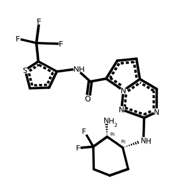 N[C@@H]1[C@H](Nc2ncc3ccc(C(=O)Nc4ccsc4C(F)(F)F)n3n2)CCCC1(F)F